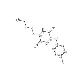 NCCCC[C@@H]1NC(=O)[C@H](Cc2ccc(F)cc2)NC1=O